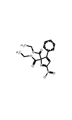 CCOC(=O)C1(C(=O)OCC)N=C([N+](=O)[O-])C=C1c1ccccc1